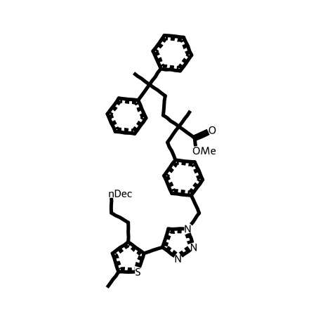 CCCCCCCCCCCCc1cc(C)sc1-c1cn(Cc2ccc(CC(C)(CCC(C)(c3ccccc3)c3ccccc3)C(=O)OC)cc2)nn1